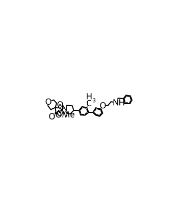 COC(=O)C1(S(=O)(=O)N2CCC(c3ccc(-c4cccc(OCCNCc5ccccc5)c4)c(C)c3)CC2)CCOCC1